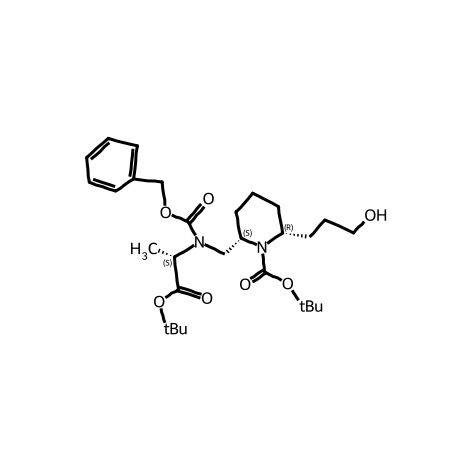 C[C@@H](C(=O)OC(C)(C)C)N(C[C@@H]1CCC[C@H](CCCO)N1C(=O)OC(C)(C)C)C(=O)OCc1ccccc1